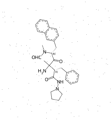 CN(C=O)[C@H](Cc1ccc2ccccc2c1)C(=O)C(C)(N)[C@H](Cc1ccccc1)C(=O)NN1CCCC1